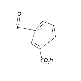 O=Ic1cccc(C(=O)O)c1